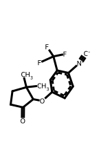 [C-]#[N+]c1ccc(OC2C(=O)CCC2(C)C)cc1C(F)(F)F